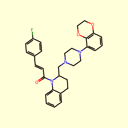 O=C(/C=C/c1ccc(F)cc1)N1c2ccccc2CCC1CN1CCN(c2cccc3c2OCCO3)CC1